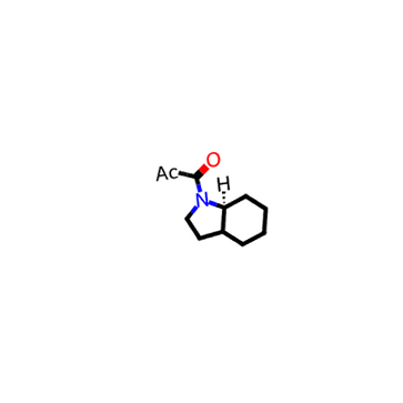 CC(=O)C(=O)N1CCC2CCCC[C@@H]21